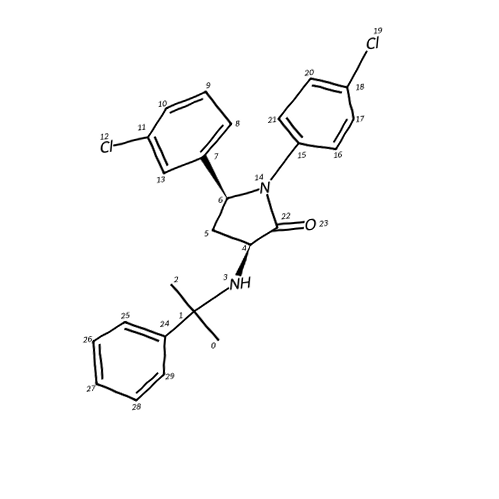 CC(C)(N[C@H]1C[C@@H](c2cccc(Cl)c2)N(c2ccc(Cl)cc2)C1=O)c1ccccc1